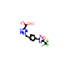 O=C(O)c1nnn(Cc2ccc(-c3noc(C(F)(F)F)n3)cc2)n1